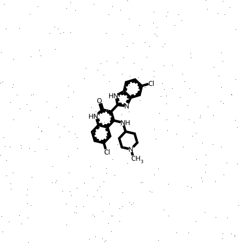 CN1CCC(Nc2c(-c3nc4cc(Cl)ccc4[nH]3)c(=O)[nH]c3ccc(Cl)cc23)CC1